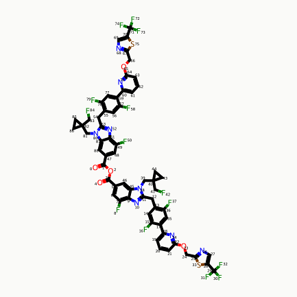 O=C(OC(=O)c1cc(F)c2nc(Cc3cc(F)c(-c4cccc(OCc5ncc(C(F)(F)F)s5)n4)cc3F)n(CC3(CF)CC3)c2c1)c1cc(F)c2nc(Cc3cc(F)c(-c4cccc(OCc5ncc(C(F)(F)F)s5)n4)cc3F)n(CC3(CF)CC3)c2c1